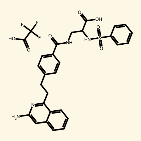 Nc1cc2ccccc2c(CCc2ccc(C(=O)NCC(NS(=O)(=O)c3ccccc3)C(=O)O)cc2)n1.O=C(O)C(F)(F)F